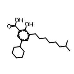 CC(C)CCCCCCc1cc(C2CCCCC2)cc(C(=O)O)c1O